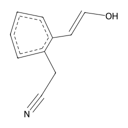 N#CCc1ccccc1C=CO